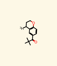 [2H]C1CCOc2ccc(C(=O)C(C)(C)C)cc21